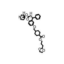 O=C(N[C@@H](c1ccccc1)c1cccc(OCC2CCC(C(=O)OCCCC3OCCO3)CC2)c1)O[C@H]1CN2CCC1CC2